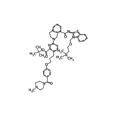 CN1CCN(C(=O)c2ccc(OCCCc3ccc(N4CCc5cccc(C(=O)N=c6sc7ccccc7n6COCC[Si](C)(C)C)c5C4)nc3C(=O)OC(C)(C)C)cc2)CC1